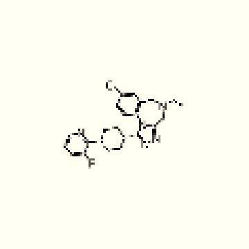 CCN1Cc2cc(Cl)ccc2-n2c(nnc2[C@H]2CC[C@H](c3ncccc3F)CC2)C1